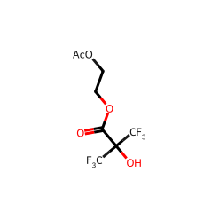 CC(=O)OCCOC(=O)C(O)(C(F)(F)F)C(F)(F)F